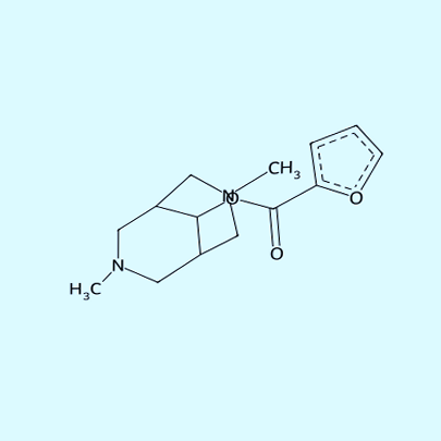 CN1CC2CN(C)CC(C1)C2OC(=O)c1ccco1